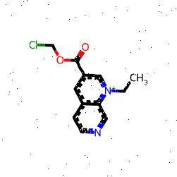 CC[n+]1cc(C(=O)OCCl)cc2ccncc21